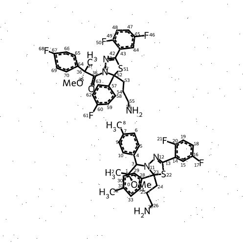 CO[C@@H](C)C(c1ccc(C)cc1)N1N=C(c2cc(F)ccc2F)SC1(CCCN)c1ccc(C)cc1.CO[C@](C)(C(=O)N1N=C(c2cc(F)ccc2F)SC1(CCCN)c1ccc(F)cc1)c1ccc(F)cc1